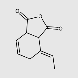 CC=C1CC=CC2C(=O)OC(=O)C12